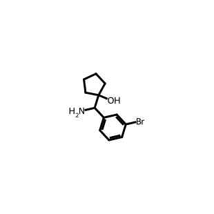 NC(c1cccc(Br)c1)C1(O)CCCC1